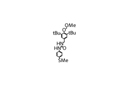 COCOc1c(C(C)(C)C)cc(CNC(=O)Nc2ccc(SC)cc2)cc1C(C)(C)C